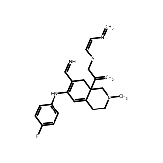 C=N/C=C\SCC(=C)C12CC(C=N)=C(Nc3ccc(F)cc3)C=C1CCN(C)C2